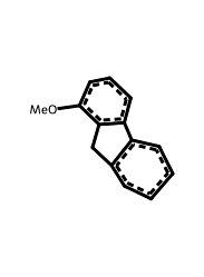 [CH2]Oc1cccc2c1Cc1ccccc1-2